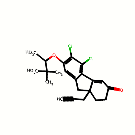 C#CCC12CCC(=O)C=C1c1c(cc(OC(C(=O)O)C(C)(C)C(=O)O)c(Cl)c1Cl)C2